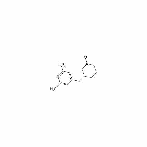 CCN1CCCC(Cc2cc(C)nc(C)c2)C1